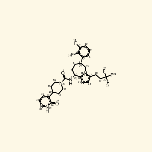 O=C(N[C@@H]1CC[C@@H](c2cccc(F)c2F)Cn2c(CCC(F)(F)F)cnc21)N1CCC(c2ccn[nH]c2=O)CC1